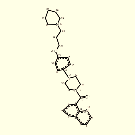 O=C(c1cccc2cccnc12)N1CCN(c2ccc(OCCCN3CCCCC3)cc2)CC1